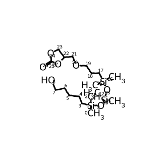 C[Si](C)(CCCCCO)O[Si](C)(C)O[Si](C)(C)CCCOCC1COC(=O)O1